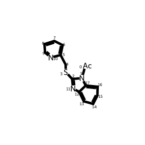 CC(=O)n1c(SCc2ccccn2)nc2ccccc21